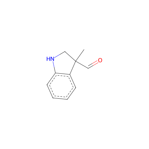 CC1(C=O)CNc2ccccc21